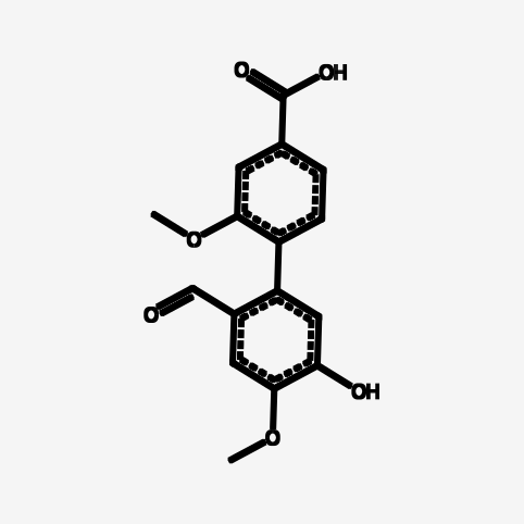 COc1cc(C=O)c(-c2ccc(C(=O)O)cc2OC)cc1O